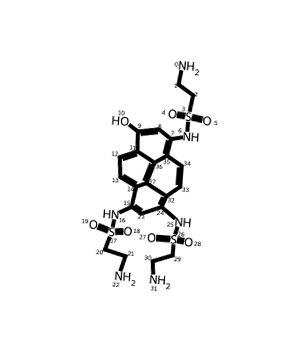 NCCS(=O)(=O)Nc1cc(O)c2ccc3c(NS(=O)(=O)CCN)cc(NS(=O)(=O)CCN)c4ccc1c2c34